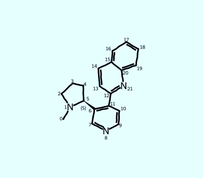 CN1CCC[C@H]1c1cnccc1-c1ccc2ccccc2n1